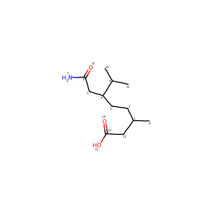 CC(CCC(CC(N)=O)C(C)C)CC(=O)O